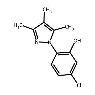 Cc1nn(-c2ccc(Cl)cc2O)c(C)c1C